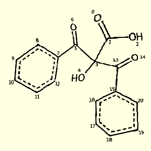 O=C(O)C(O)(C(=O)c1ccccc1)C(=O)c1ccccc1